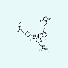 CCC(C)(C)C(=O)OCc1ccc(NC(=O)[C@H](CCCNC(N)=O)NC(=O)C(NC(=O)CCCCN2C(=O)C=CC2=O)C(C)C)cc1